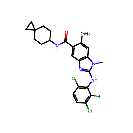 COc1cc2c(cc1C(=O)NC1CCC3(CC1)CC3)nc(Nc1c(Cl)ccc(Cl)c1F)n2C